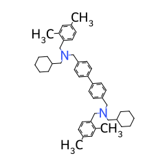 Cc1ccc(CN(Cc2ccc(-c3ccc(CN(Cc4ccc(C)cc4C)CC4CCCCC4)cc3)cc2)CC2CCCCC2)c(C)c1